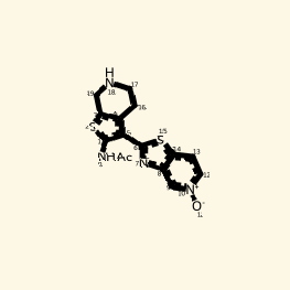 CC(=O)Nc1sc2c(c1-c1nc3c[n+]([O-])ccc3s1)CCNC2